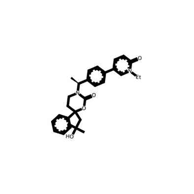 CCn1cc(-c2ccc([C@H](C)N3CCC(CC(C)(C)O)(c4ccccc4)OC3=O)cc2)ccc1=O